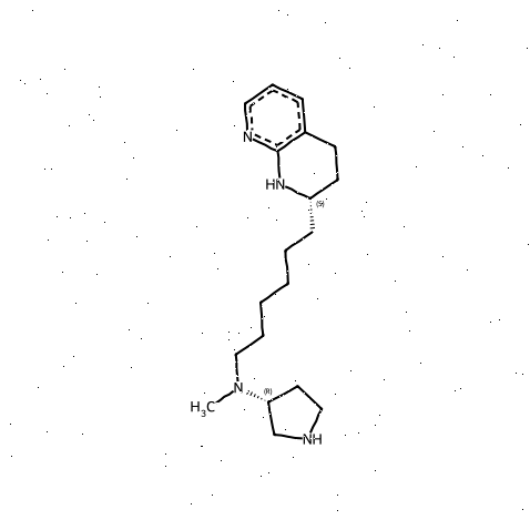 CN(CCCCCC[C@H]1CCc2cccnc2N1)[C@@H]1CCNC1